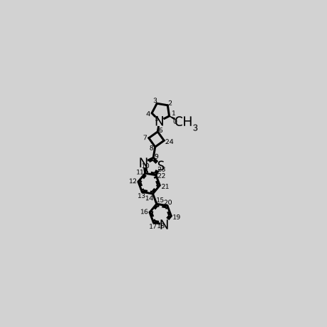 C[C@@H]1CCCN1C1CC(c2nc3ccc(-c4ccncc4)cc3s2)C1